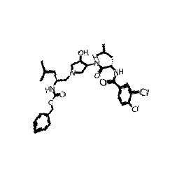 CC(C)C[C@@H](CN1CC(O)C(NC(=O)[C@H](CC(C)C)NC(=O)c2ccc(Cl)c(Cl)c2)C1)NC(=O)OCc1ccccc1